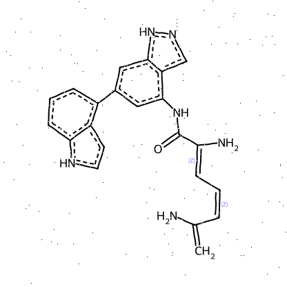 C=C(N)/C=C\C=C(/N)C(=O)Nc1cc(-c2cccc3[nH]ccc23)cc2[nH]ncc12